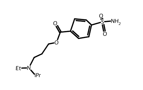 CCN(CCCOC(=O)c1ccc(S(N)(=O)=O)cc1)C(C)C